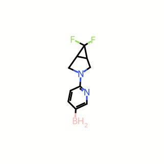 Bc1ccc(N2CC3C(C2)C3(F)F)nc1